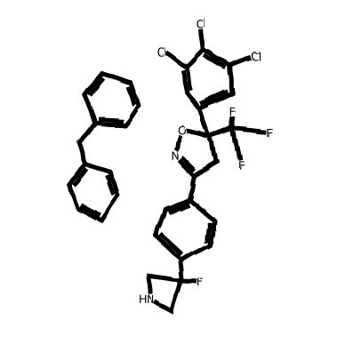 FC1(c2ccc(C3=NOC(c4cc(Cl)c(Cl)c(Cl)c4)(C(F)(F)F)C3)cc2)CNC1.c1ccc(Cc2ccccc2)cc1